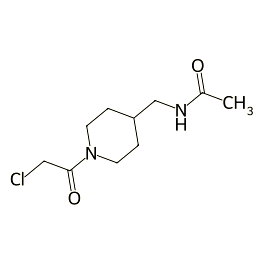 CC(=O)NCC1CCN(C(=O)CCl)CC1